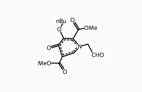 CCCCOc1c(C(=O)OC)n(CC=O)cc(C(=O)OC)c1=O